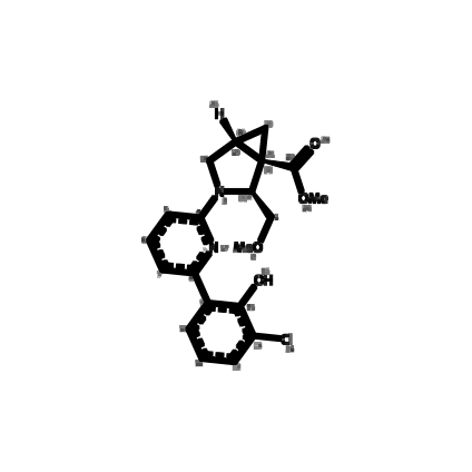 COC[C@H]1N(c2cccc(-c3cccc(Cl)c3O)n2)C[C@@H]2C[C@@]21C(=O)OC